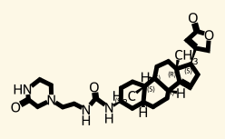 C[C@]12CC[C@H](NC(=O)NCCN3CCNC(=O)C3)C[C@H]1CC[C@H]1C3=CC[C@H](C4=CC(=O)OC4)[C@@]3(C)CC[C@@H]12